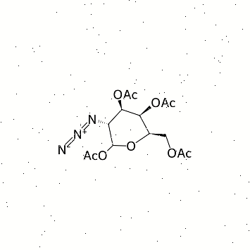 CC(=O)OC[C@H]1OC(OC(C)=O)[C@H](N=[N+]=[N-])[C@@H](OC(C)=O)[C@H]1OC(C)=O